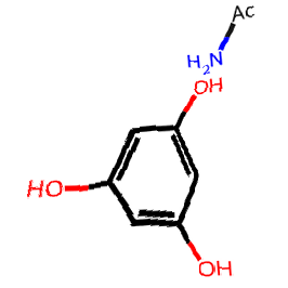 CC(N)=O.Oc1cc(O)cc(O)c1